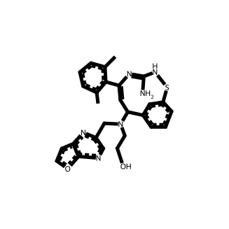 Cc1cccc(C)c1C1=C/C(N(CCO)Cc2cnc3occc3n2)c2cccc(c2)SN\C(N)=N\1